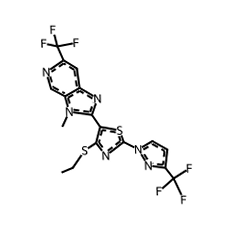 CCSc1nc(-n2ccc(C(F)(F)F)n2)sc1-c1nc2cc(C(F)(F)F)ncc2n1C